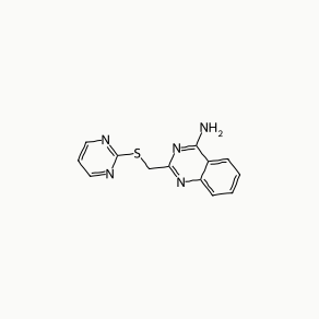 Nc1nc(CSc2ncccn2)nc2ccccc12